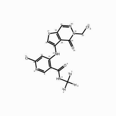 [2H]C([2H])([2H])NC(=O)c1cnc(Cl)cc1Nc1csc2cnn(CC(F)(F)F)c(=O)c12